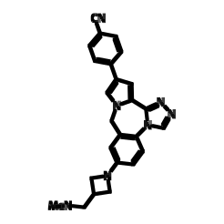 CNCC1CN(c2ccc3c(c2)Cn2cc(-c4ccc(C#N)cc4)cc2-c2nncn2-3)C1